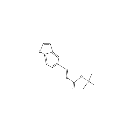 C=C(/N=C/c1ccc2occc2c1)O[Si](C)(C)C